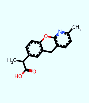 Cc1ccc2c(n1)Oc1ccc(C(C)C(=O)O)cc1C2